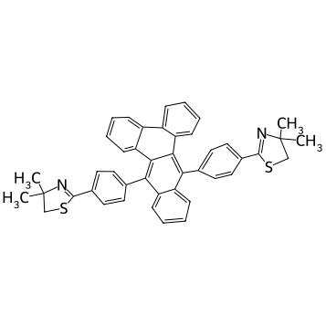 CC1(C)CSC(c2ccc(-c3c4ccccc4c(-c4ccc(C5=NC(C)(C)CS5)cc4)c4c5ccccc5c5ccccc5c34)cc2)=N1